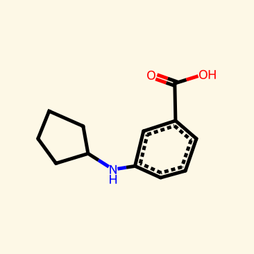 O=C(O)c1cccc(NC2CCCC2)c1